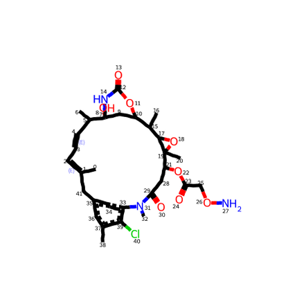 C/C1=C\C=C\C(C)C2(O)CC(OC(=O)N2)C(C)C2OC2(C)C(OC(=O)CON)CC(=O)N(C)c2cc(cc(C)c2Cl)C1